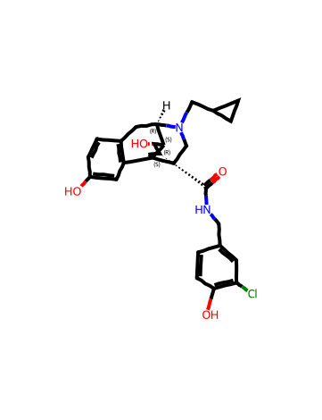 O=C(NCc1ccc(O)c(Cl)c1)[C@@H]1C[C@]23CCN(CC4CC4)[C@H](Cc4ccc(O)cc42)[C@]3(O)C1